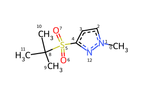 Cn1ccc(S(=O)(=O)C(C)(C)C)n1